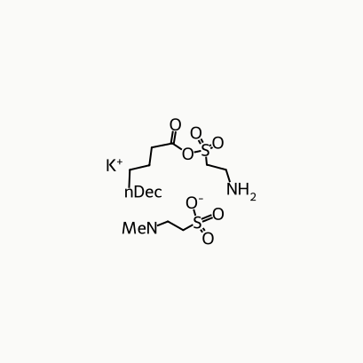 CCCCCCCCCCCCCC(=O)OS(=O)(=O)CCN.CNCCS(=O)(=O)[O-].[K+]